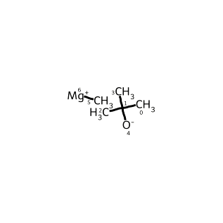 CC(C)(C)[O-].[CH3][Mg+]